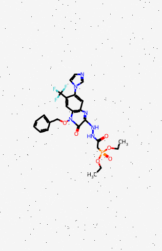 CCOP(=O)(CC(=O)NNc1nc2cc(-n3ccnc3)c(C(F)(F)F)cc2n(OCc2ccccc2)c1=O)OCC